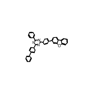 c1cccc(-c2nc(C3C=CC(c4ccccc4)=CC3)nc(C3C=CC(c4ccc5c(c4)oc4ccccc45)=CC3)n2)c#1